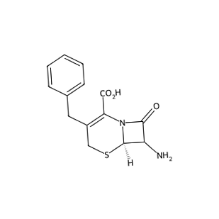 NC1C(=O)N2C(C(=O)O)=C(Cc3ccccc3)CS[C@H]12